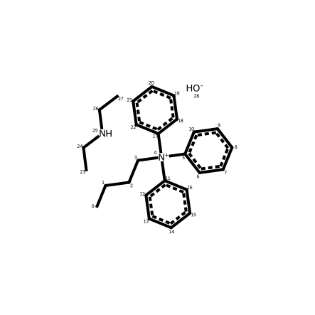 CCCC[N+](c1ccccc1)(c1ccccc1)c1ccccc1.CCNCC.[OH-]